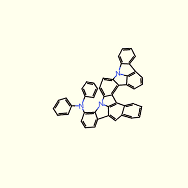 c1ccc(N(c2ccccc2)c2cccc3c4cc5ccccc5c5c6c7c8cccc9c%10ccccc%10n(c7ccc6n(c23)c45)c98)cc1